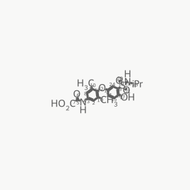 Cc1cc(NC(=O)C(=O)O)cc(C)c1Oc1ccc(O)c(S(=O)(=O)NC(C)C)c1